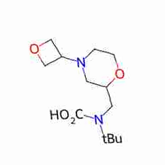 CC(C)(C)N(CC1CN(C2COC2)CCO1)C(=O)O